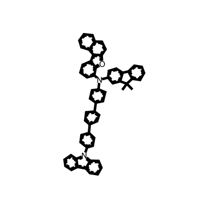 CC1(C)c2ccccc2-c2ccc(N(c3ccc(-c4ccc(-c5ccc(-n6c7ccccc7c7ccccc76)cc5)cc4)cc3)c3cccc4c3oc3ccc5ccccc5c34)cc21